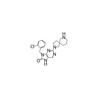 O=c1[nH]c2cnc(N3CCC4(CCCNC4)C3)nc2n1Cc1ccccc1Cl